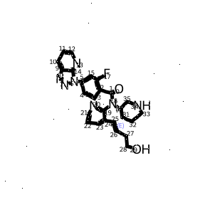 O=C(c1ccc(-n2nnc3cccnc32)cc1F)N(c1ncccc1/C=C/CCO)[C@@H]1CCCNC1